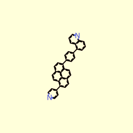 c1cc(-c2ccc(-c3ccc4ccc5c(-c6ccncc6)ccc6ccc3c4c65)cc2)c2cccnc2c1